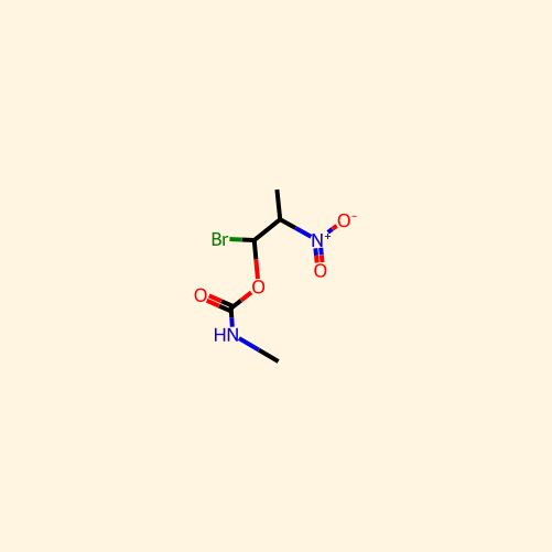 CNC(=O)OC(Br)C(C)[N+](=O)[O-]